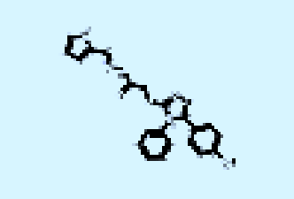 O=C(CSc1nnc(-c2ccc(O)cc2)n1-c1ccccc1)N/N=C/c1ccco1